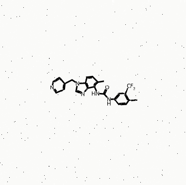 Cc1ccc(NC(=O)Nc2c(C)ccc3c2ncn3Cc2ccncc2)cc1C(F)(F)F